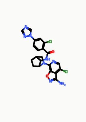 Nc1noc2c(N3CC4CCC3C4NC(=O)c3ccc(-n4cncn4)cc3Cl)ncc(Cl)c12